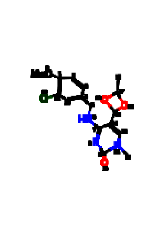 COc1ccc(CNc2nc(=O)n(C)cc2C2OC(C)O2)cc1Cl